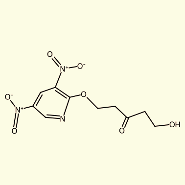 O=C(CCO)CCOc1ncc([N+](=O)[O-])cc1[N+](=O)[O-]